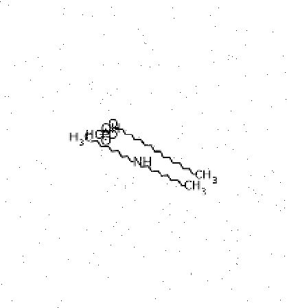 CCCCCCCCC=CCCCCCCCC(=O)OP(=O)(O)O.CCCCCCCCCCNCCCCCCCCCC